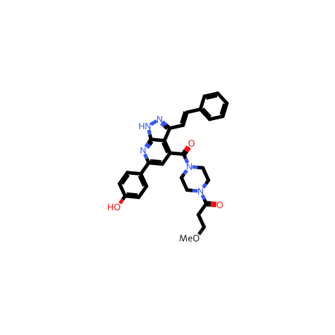 COCCC(=O)N1CCN(C(=O)c2cc(-c3ccc(O)cc3)nc3[nH]nc(C=Cc4ccccc4)c23)CC1